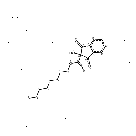 CCCCCCCCOC(=O)C1(O)C(=O)c2ccccc2C1=O